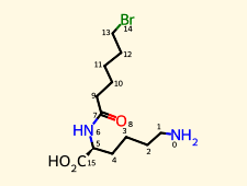 NCCCC[C@H](NC(=O)CCCCCBr)C(=O)O